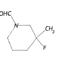 CC1(F)CCCN(C=O)C1